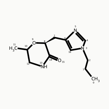 CCCn1cnc(C[C@@H]2OC(C)CNC2=O)c1